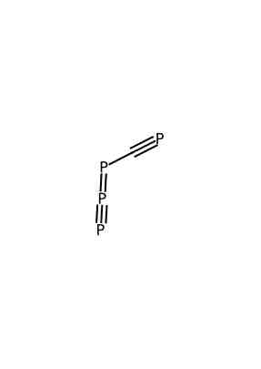 P#CP=P#P